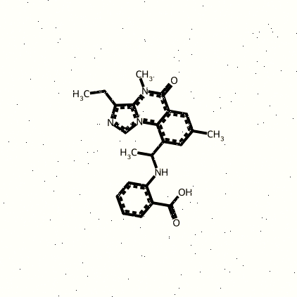 CCc1ncn2c3c(C(C)Nc4ccccc4C(=O)O)cc(C)cc3c(=O)n(C)c12